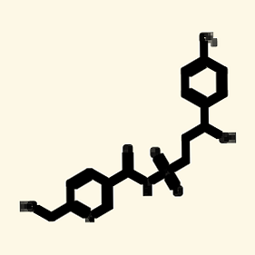 O=C(NS(=O)(=O)CCC(O)c1ccc(C(F)(F)F)cc1)c1ccc(CO)nc1